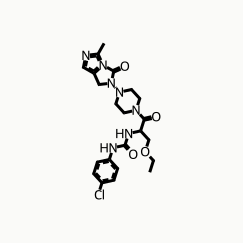 CCOCC(NC(=O)Nc1ccc(Cl)cc1)C(=O)N1CCN(N2Cc3cnc(C)n3C2=O)CC1